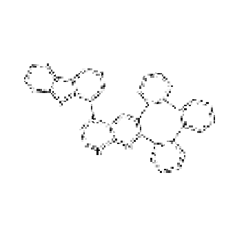 c1ccc2c(c1)-c1ccccc1-c1cc3c(-c4cccc5c4sc4ccccc45)ccnc3nc1-c1ccccc1-2